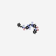 O=C(NCCCc1ccccc1)c1ccc2[nH]c(Cc3nc4cc(C(=O)N5Cc6ccccc6C5=O)ccc4[nH]3)nc2c1